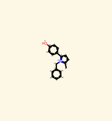 Cc1ccc(-c2ccc(O)cc2)n1Cc1ccccc1